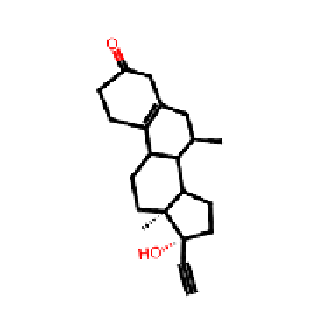 C#C[C@]1(O)CCC2C3C(CC[C@@]21C)C1=C(CC(=O)CC1)C[C@H]3C